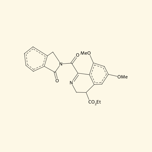 CCOC(=O)C1CN=C(C(=O)N2Cc3ccccc3C2=O)c2c(OC)cc(OC)cc21